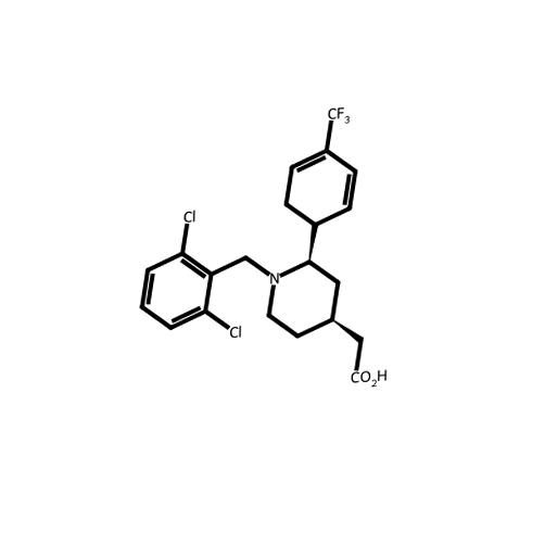 O=C(O)C[C@H]1CCN(Cc2c(Cl)cccc2Cl)[C@@H](C2C=CC(C(F)(F)F)=CC2)C1